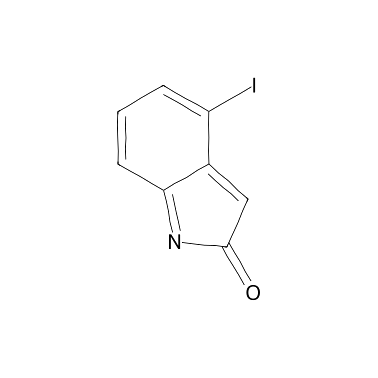 O=C1C=c2c(I)cccc2=N1